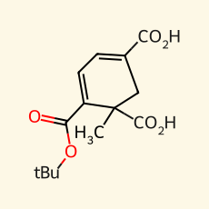 CC(C)(C)OC(=O)C1=CC=C(C(=O)O)CC1(C)C(=O)O